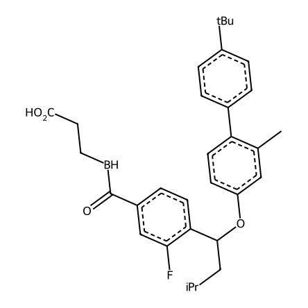 Cc1cc(OC(CC(C)C)c2ccc(C(=O)BCCC(=O)O)cc2F)ccc1-c1ccc(C(C)(C)C)cc1